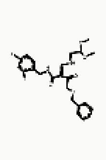 COC(CN/C=C(\C(=O)COCc1ccccc1)C(=O)NCc1ccc(F)cc1F)OC